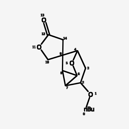 CCCCOC1CC2OC3C1C3C21COC(=O)C1